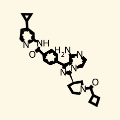 Nc1nccn2c([C@@H]3CCCN(C(=O)C4CCC4)C3)nc(-c3ccc(C(=O)Nc4cc(C5CC5)ccn4)cc3)c12